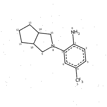 Nc1ccc(C(F)(F)F)cc1N1CC2CCCC2C1